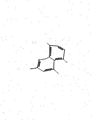 Nc1cc(S(=O)(=O)O)cc2c(S(=O)(=O)O)ccc(O)c12